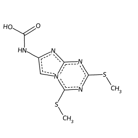 CSc1nc(SC)n2cc(NC(=O)O)nc2n1